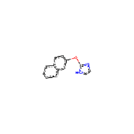 [c]1c(Oc2ncc[nH]2)ccc2ccccc12